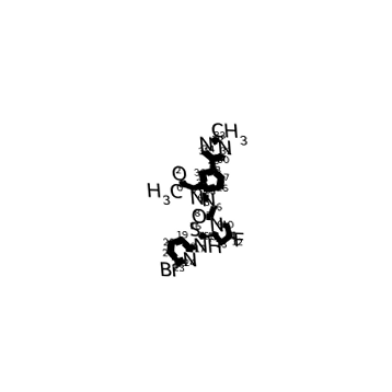 CC(=O)c1nn(CC(=O)N2C[C@H](F)C[C@H]2C(=S)Nc2cccc(Br)n2)c2ccc(-c3cnc(C)nc3)cc12